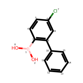 OB(O)c1ccc(Cl)cc1-c1ccccc1